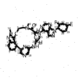 CN1CCCc2c3c(cccc3nn2C)-c2cncc(n2)N[C@H]2C[C@@H](C1=O)N(c1ncnc3c1cnn3-c1ccc(F)cc1F)C2